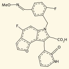 CO/N=C/c1ccc(F)c(Cn2c(C(=O)O)c(-c3ccc[nH]c3=O)c3c4occc4c(F)cc32)c1